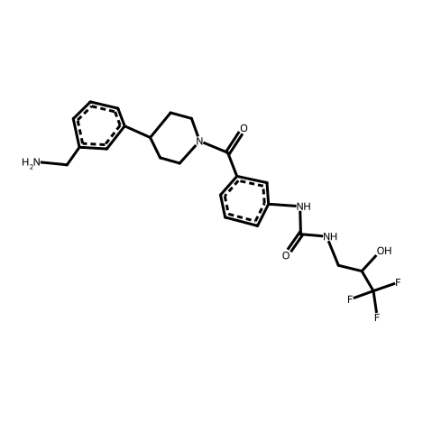 NCc1cccc(C2CCN(C(=O)c3cccc(NC(=O)NCC(O)C(F)(F)F)c3)CC2)c1